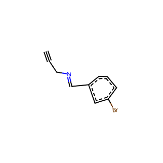 C#CCN=Cc1cccc(Br)c1